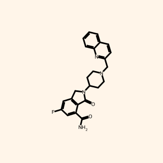 NC(=O)c1cc(F)cc2c1C(=O)N(C1CCN(Cc3ccc4ccccc4n3)CC1)C2